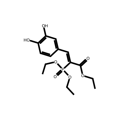 CCOC(=O)C(=Cc1ccc(O)c(O)c1)P(=O)(OCC)OCC